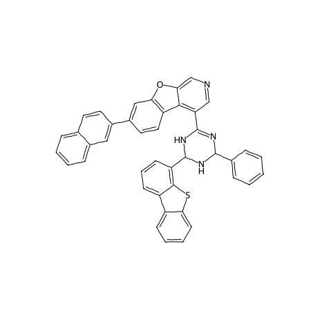 c1ccc(C2N=C(c3cncc4oc5cc(-c6ccc7ccccc7c6)ccc5c34)NC(c3cccc4c3sc3ccccc34)N2)cc1